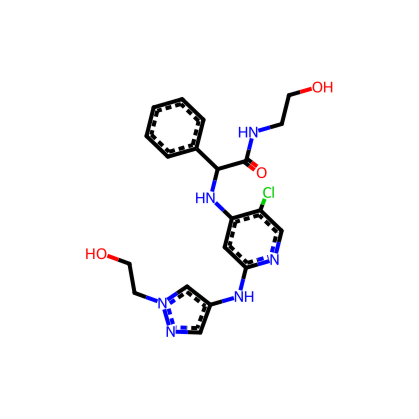 O=C(NCCO)C(Nc1cc(Nc2cnn(CCO)c2)ncc1Cl)c1ccccc1